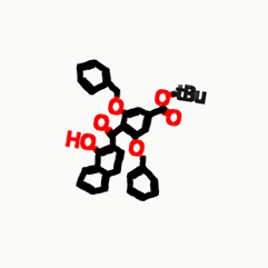 CC(C)(C)OC(=O)c1cc(OCc2ccccc2)c(C(=O)c2ccc3ccccc3c2O)c(OCc2ccccc2)c1